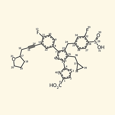 O=C(O)c1csc(-n2nc(-c3ccc(F)c(C#CCC4CCCO4)c3)c(Cc3ccc(S(=O)O)c(F)c3)c2CC2CC2)n1